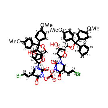 COc1ccc(C(OC[C@H]2O[C@@H](n3cc(C=CBr)c(=O)n(OC(=O)On4c(=O)c(C=CBr)cn([C@H]5C[C@H](O)[C@@H](COC(c6ccccc6)(c6ccc(OC)cc6)c6ccc(OC)cc6)O5)c4=O)c3=O)C[C@@H]2O)(c2ccccc2)c2ccc(OC)cc2)cc1